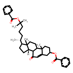 C[C@H](CCCC(C)(C)OC(=O)c1ccccc1)C1CC[C@H]2C3C(=O)C=C4CC(OC(=O)c5ccccc5)CCC4(C)C3CCC12C